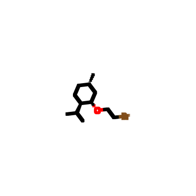 CC(C)[C@H]1CC[C@H](C)C[C@@H]1OCCBr